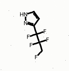 FCC(F)(F)C(F)(F)c1cc[nH]n1